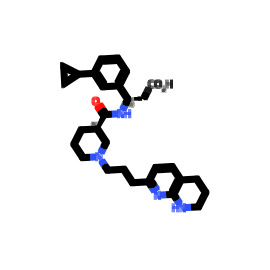 O=C(O)C[C@H](NC(=O)[C@@H]1CCCN(CCCc2ccc3c(n2)NCCC3)C1)c1cccc(C2CC2)c1